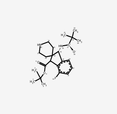 CC(C)(C)OC(=O)C1c2c(F)cccc2[C@@H](N[S@+]([O-])C(C)(C)C)C12CCNCC2